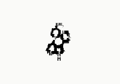 NC1CCN(c2ccnc3[nH]cc(-c4cncnc4)c23)CC1